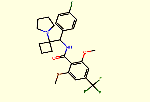 COc1cc(C(F)(F)F)cc(SC)c1C(=O)NC(c1ccc(F)cc1)C1(N2CCCC2)CCC1